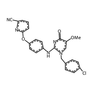 COc1cn(Cc2ccc(Cl)cc2)c(Nc2ccc(Oc3cccc(C#N)n3)cc2)nc1=O